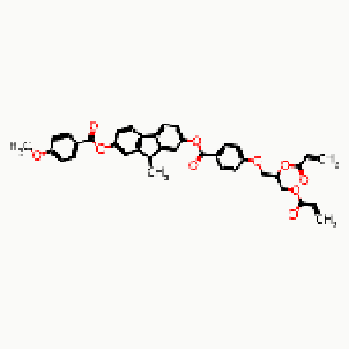 C=CC(=O)OCC(COc1ccc(C(=O)Oc2ccc3c(c2)C(C)c2cc(OC(=O)c4ccc(OC)cc4)ccc2-3)cc1)OC(=O)C=C